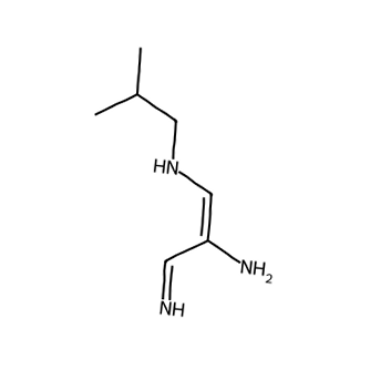 CC(C)CN/C=C(/N)C=N